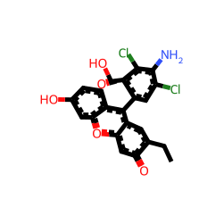 CCc1cc2c(-c3cc(Cl)c(N)c(Cl)c3C(=O)O)c3ccc(O)cc3oc-2cc1=O